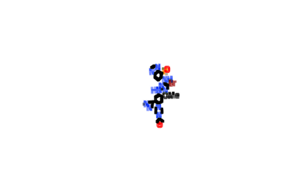 COc1cc(N2CCN(C3COC3)CC2)c(-c2cnn(C)c2)cc1Nc1ncc(Br)c(Nc2ccc3nccnc3c2P(C)(C)=O)n1